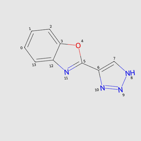 c1ccc2oc(-c3c[nH]nn3)nc2c1